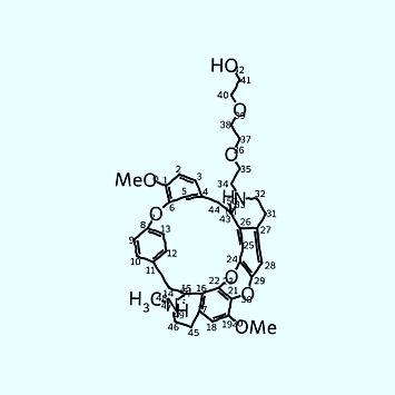 COc1ccc2cc1Oc1ccc(cc1)C[C@H]1c3c(cc(OC)c4c3Oc3cc5c(cc3O4)CCN(CCOCCOCCO)[C@H]5C2)CCN1C